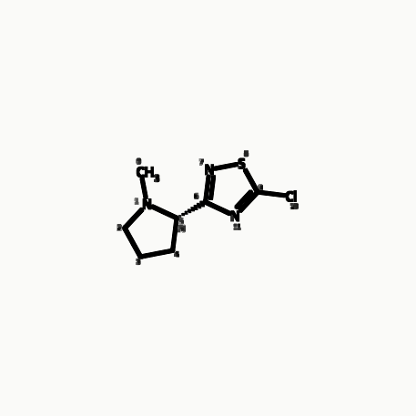 CN1CCC[C@H]1c1nsc(Cl)n1